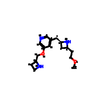 CCOCC[C@H]1C[C@H](Cc2cncc(OC[C@@H]3CCN3)c2)N1